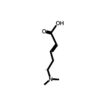 CN(C)[CH]CC=CC(=O)O